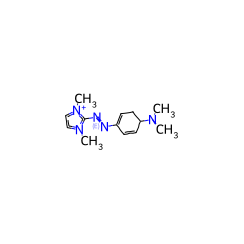 CN(C)C1C=CC(/N=N/c2n(C)cc[n+]2C)=CC1